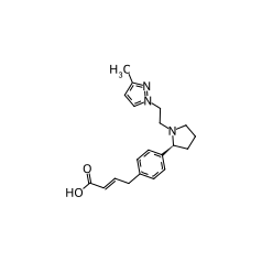 Cc1ccn(CCN2CCC[C@H]2c2ccc(C/C=C/C(=O)O)cc2)n1